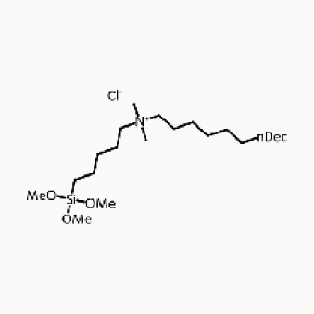 CCCCCCCCCCCCCCCC[N+](C)(C)CCCCC[Si](OC)(OC)OC.[Cl-]